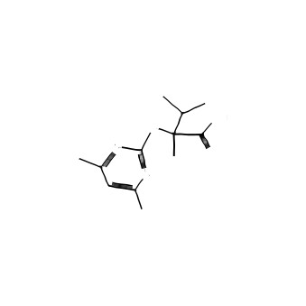 Cc1cc(C)nc(OC(C)(C(=O)O)C(C)C)n1